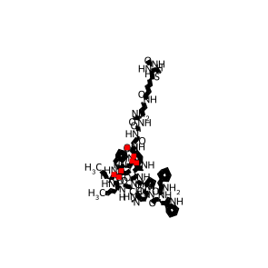 CCCC[C@H](NC(=O)[C@H](C)NC(=O)[C@H](Cc1c[nH]c2ccccc12)NC(=O)[C@@H]1CCCN1C(=O)[C@H](Cc1c[nH]cn1)NC(=O)[C@H](Cc1c[nH]c2ccccc12)NC(=O)[C@@H](N)Cc1ccccc1)C(=O)N[C@@H](CCCC)C(=O)N[C@@H](Cc1ccc(O)cc1)C(=O)N[C@@H](CCCCN)C(=O)NCC(=O)NCC(=O)NCC(=O)N[C@@H](CCCCNC(=O)CCCC[C@@H]1SC[C@@H]2NC(=O)N[C@@H]21)C(N)=O